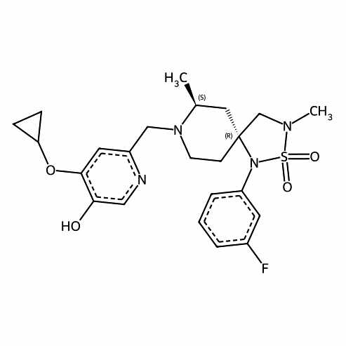 C[C@H]1C[C@]2(CCN1Cc1cc(OC3CC3)c(O)cn1)CN(C)S(=O)(=O)N2c1cccc(F)c1